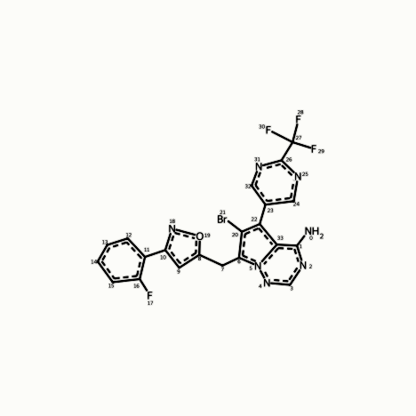 Nc1ncnn2c(Cc3cc(-c4ccccc4F)no3)c(Br)c(-c3cnc(C(F)(F)F)nc3)c12